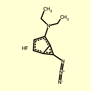 CCN(CC)c1ccc2c(N=[N+]=[N-])c1-2.F